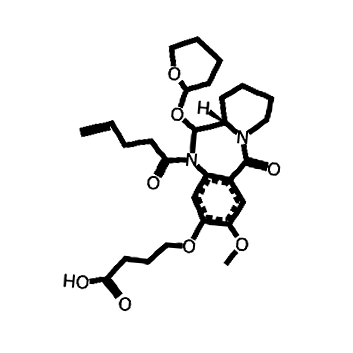 C=CCCC(=O)N1c2cc(OCCCC(=O)O)c(OC)cc2C(=O)N2CCCC[C@H]2C1OC1CCCCO1